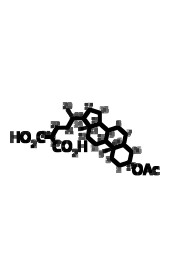 CC(=O)O[C@@H]1CC[C@@]2(C)C(CCC3C2CC[C@@]2(C)C3CCC2[C@H](C)CCC(C(=O)O)C(=O)O)C1